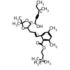 CC[C@@H](C)C#CC(O)[C@H]1OC(C)(C)OC1C/C=C/c1cc(C)cc(C)c1C(=O)OCC[Si](C)(C)C